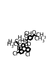 COc1cc(C(=O)C(C)C)ccc1NC(=O)[C@@H]1C[C@@H](CC(C)(C)C)[C@]2(C#N)c3c(ccc(Cl)c3F)-c3c(Cl)cccc3[C@@H]12